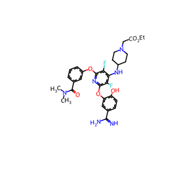 CCOC(=O)CN1CCC(Nc2c(F)c(Oc3cccc(C(=O)N(C)C)c3)nc(Oc3cc(C(=N)N)ccc3O)c2F)CC1